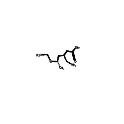 CCO[C@@H](C)C[C@H](CN)CC(=O)O